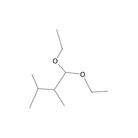 CCOC(OCC)C(C)C(C)C